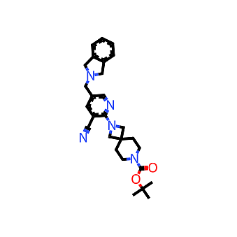 CC(C)(C)OC(=O)N1CCC2(CC1)CN(c1ncc(CN3Cc4ccccc4C3)cc1C#N)C2